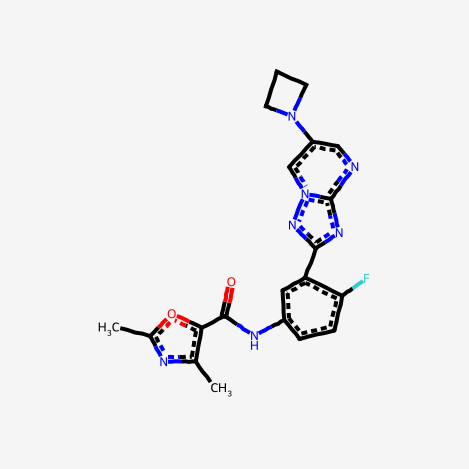 Cc1nc(C)c(C(=O)Nc2ccc(F)c(-c3nc4ncc(N5CCC5)cn4n3)c2)o1